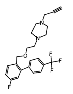 C#CCN1CCN(CCOCc2ccc(F)cc2-c2ccc(C(F)(F)F)cc2)CC1